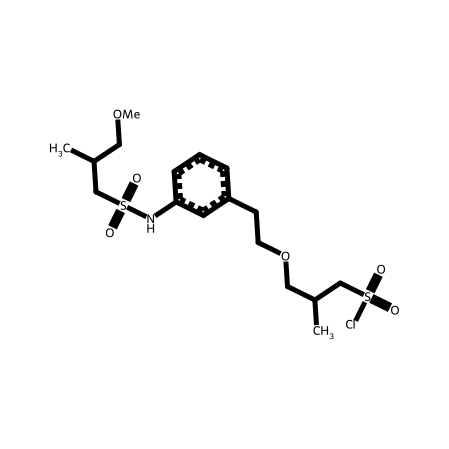 COCC(C)CS(=O)(=O)Nc1cccc(CCOCC(C)CS(=O)(=O)Cl)c1